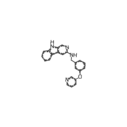 c1cncc(Oc2cccc(CNc3cc4c(cn3)[nH]c3ccccc34)c2)c1